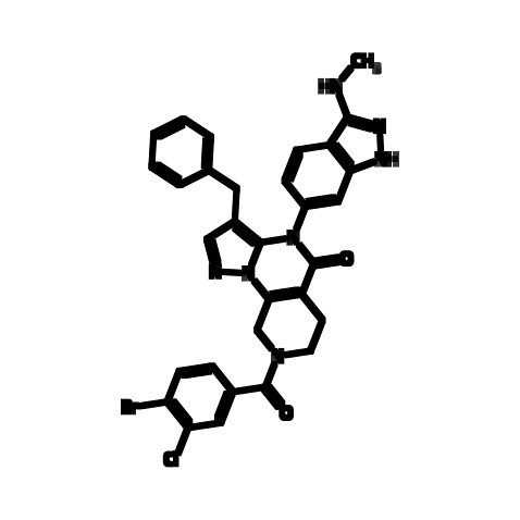 CNc1n[nH]c2cc(-n3c(=O)c4c(n5ncc(Cc6ccccc6)c35)CN(C(=O)c3ccc(Br)c(Cl)c3)CC4)ccc12